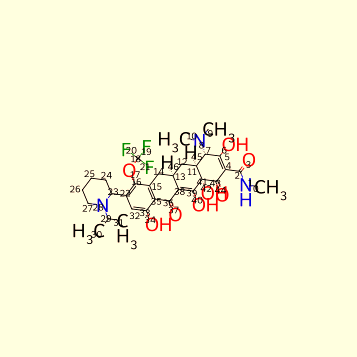 CNC(=O)C1=C(O)[C@@H](N(C)C)[C@@H]2C[C@@H]3Cc4c(OC(F)(F)F)c(C5CCCCN5C(C)C)cc(O)c4C(=O)C3=C(O)[C@]2(O)C1=O